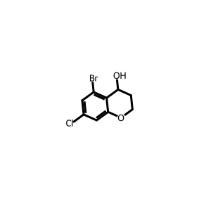 OC1CCOc2cc(Cl)cc(Br)c21